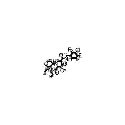 C=CCN1C(=O)c2c(OC)c(=O)c(C(=O)NCc3ccc(F)c(Cl)c3F)cn2[C@H]2CCOC[C@]21CC=C